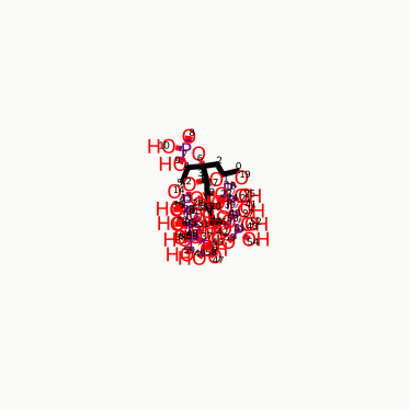 CCCC(CC)(OP(=O)(O)O)C(OP(=O)(O)O)(OP(=O)(O)O)C(OP(=O)(O)O)(OP(=O)(O)O)C(OP(=O)(O)O)(OP(=O)(O)O)C(OP(=O)(O)O)(OP(=O)(O)O)OP(=O)(O)O